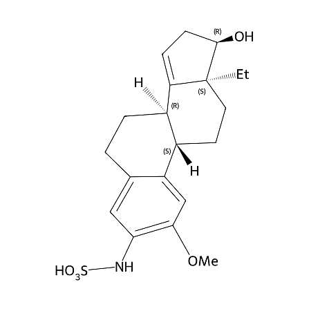 CC[C@]12CC[C@@H]3c4cc(OC)c(NS(=O)(=O)O)cc4CC[C@H]3C1=CC[C@H]2O